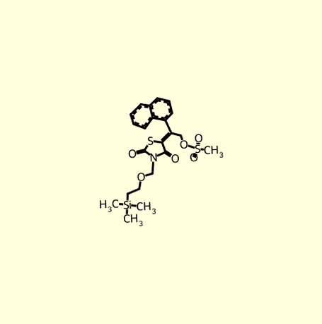 C[Si](C)(C)CCOCN1C(=O)SC(=C(COS(C)(=O)=O)c2cccc3ccccc23)C1=O